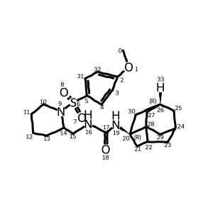 COc1ccc(S(=O)(=O)N2CCCCC2CNC(=O)N[C@]23CC4CC5C[C@H](CC42C5)C3)cc1